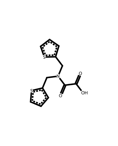 O=C(O)C(=O)N(Cc1cccs1)Cc1cccs1